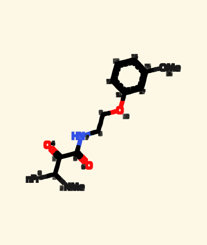 CCCC(NC)C(=O)C(=O)NCCOc1cccc(OC)c1